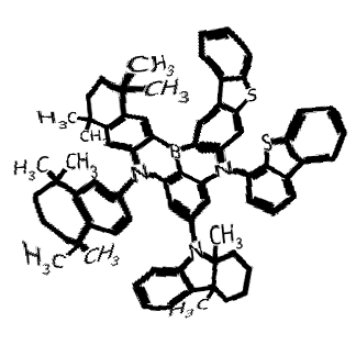 CC1(C)CCC(C)(C)c2cc(N3c4cc5c(cc4B4c6cc7c(cc6N(c6cccc8c6sc6ccccc68)c6cc(N8c9ccccc9C9(C)CCCCC89C)cc3c64)sc3ccccc37)C(C)(C)CCC5(C)C)ccc21